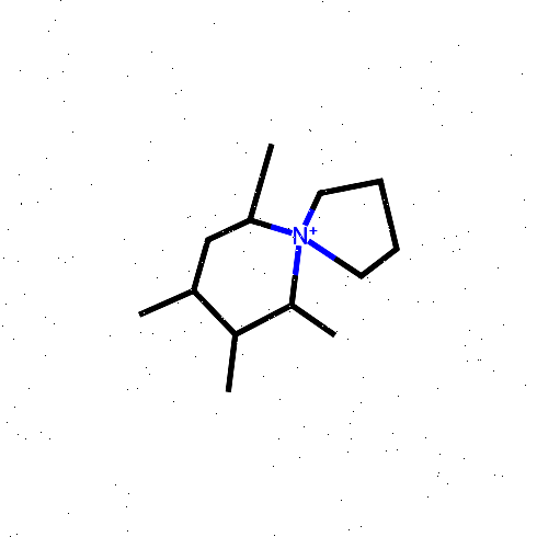 CC1CC(C)[N+]2(CCCC2)C(C)C1C